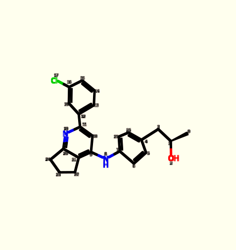 C[C@@H](O)Cc1ccc(Nc2cc(-c3cccc(Cl)c3)nc3c2CCC3)cc1